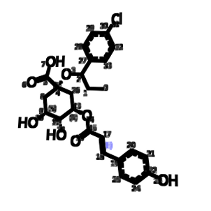 CCC(O[C@@]1(C(=O)O)C[C@H](O)[C@@H](O)[C@H](OC(=O)/C=C/c2ccc(O)cc2)C1)c1ccc(Cl)cc1